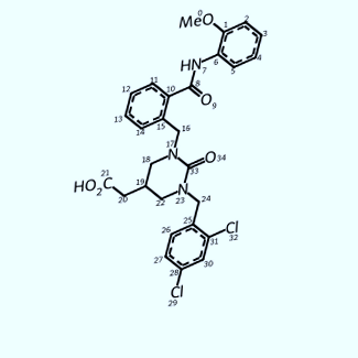 COc1ccccc1NC(=O)c1ccccc1CN1CC(CC(=O)O)CN(Cc2ccc(Cl)cc2Cl)C1=O